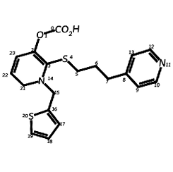 O=C(O)OC1=C(SCCCc2ccncc2)N(Cc2cccs2)CC=C1